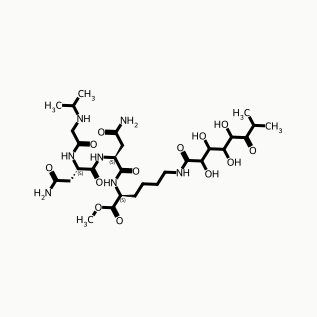 COC(=O)[C@H](CCCCNC(=O)C(O)C(O)C(O)C(O)C(=O)C(C)C)NC(=O)[C@H](CC(N)=O)NC(=O)[C@H](CC(N)=O)NC(=O)CNC(C)C